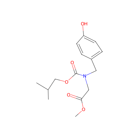 COC(=O)CN(Cc1ccc(O)cc1)C(=O)OCC(C)C